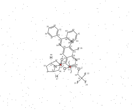 CC(C)(C)OC(=O)N1[C@@H]2CC[C@H]1CN(c1nc(OCC(F)(F)F)nc3c(F)c(Br)c(N=C(c4ccccc4)c4ccccc4)cc13)C2